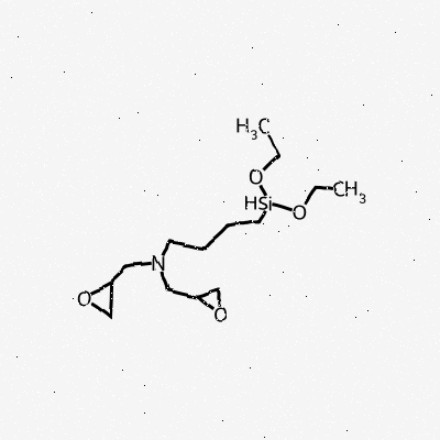 CCO[SiH](CCCCN(CC1CO1)CC1CO1)OCC